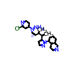 C=C(/C=C\N(N)c1ccnc(Cl)c1)C(=C)c1ccnn1-c1cccc2cnccc12